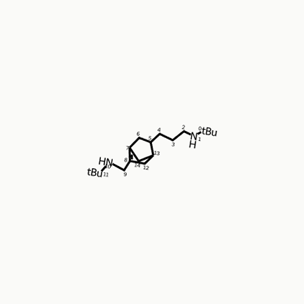 CC(C)(C)NCCCC1CC2=C(CNC(C)(C)C)CC1C2